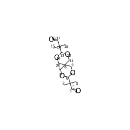 CC(C)(C=O)C1OCC2(CO1)COC(C(C)(C)C=O)OC2